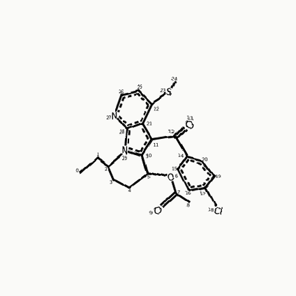 CCC1CCC(OC(C)=O)c2c(C(=O)c3ccc(Cl)cc3)c3c(SC)ccnc3n21